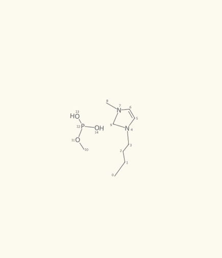 CCCCN1C=CN(C)C1.COP(O)O